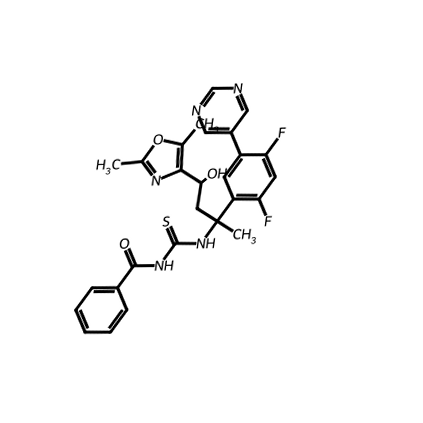 Cc1nc(C(O)CC(C)(NC(=S)NC(=O)c2ccccc2)c2cc(-c3cncnc3)c(F)cc2F)c(C)o1